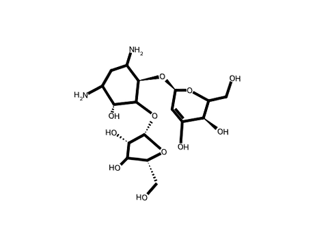 NC1CC(N)[C@@H](O[C@@H]2C=C(O)[C@H](O)C(CO)O2)C(O[C@@H]2O[C@H](CO)C(O)[C@@H]2O)[C@@H]1O